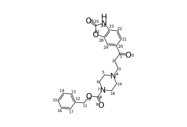 O=C(CCN1CCN(C(=O)OCc2ccccc2)CC1)c1ccc2[nH]c(=O)oc2c1